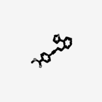 COC(=O)c1ccc(C#C/C=C/c2ccccc2-c2cccs2)cc1